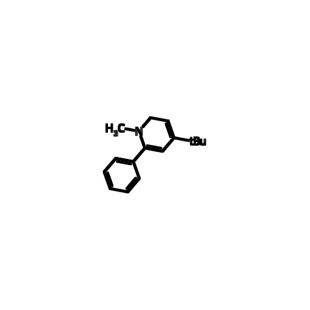 CN1CC=C(C(C)(C)C)C=C1c1ccccc1